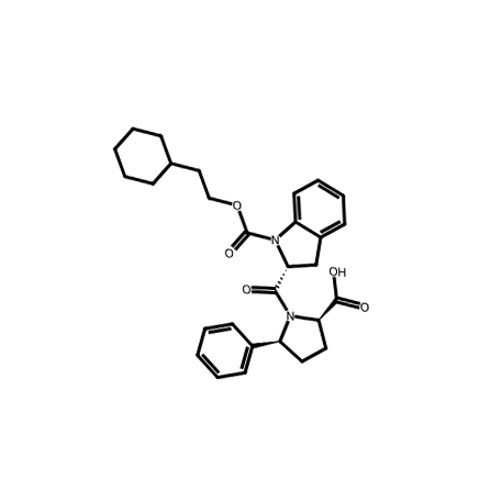 O=C(O)[C@H]1CC[C@@H](c2ccccc2)N1C(=O)[C@H]1Cc2ccccc2N1C(=O)OCCC1CCCCC1